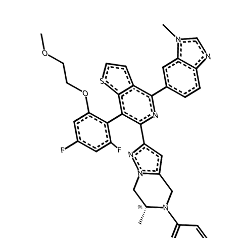 C=CC(=O)N1Cc2cc(-c3nc(-c4ccc5ncn(C)c5c4)c4ccsc4c3-c3c(F)cc(F)cc3OCCOC)nn2C[C@H]1C